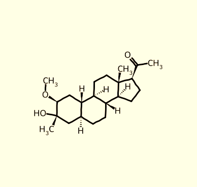 CO[C@H]1C[C@H]2[C@@H](CC[C@@H]3[C@@H]2CC[C@]2(C)[C@@H](C(C)=O)CC[C@@H]32)C[C@]1(C)O